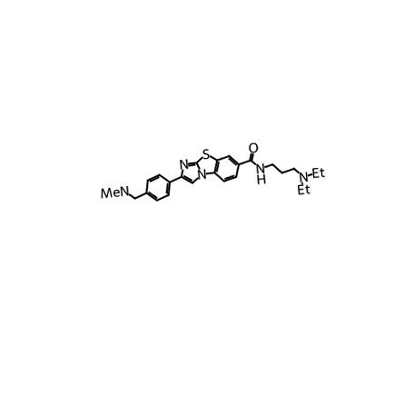 CCN(CC)CCCNC(=O)c1ccc2c(c1)sc1nc(-c3ccc(CNC)cc3)cn12